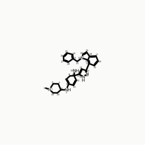 CN1CCC(NC2=CCC(N)(c3cc(-c4cccc5ccn(Cc6ccccc6)c45)n[nH]3)C=C2)CC1